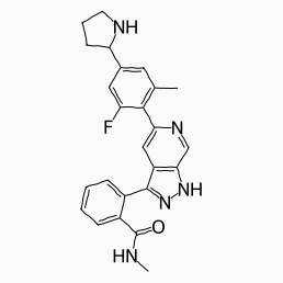 CNC(=O)c1ccccc1-c1n[nH]c2cnc(-c3c(C)cc(C4CCCN4)cc3F)cc12